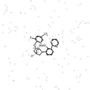 O=Cc1c(-c2ncccn2)cccc1N1C[C@H]2C[C@@H](Oc3ncc(C(F)(F)F)cc3F)[C@@H]1C2